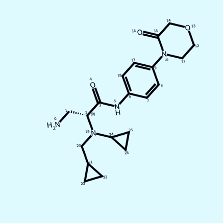 NC[C@H](C(=O)Nc1ccc(N2CCOCC2=O)cc1)N(CC1CC1)C1CC1